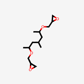 CC(CC(C)OCC1CO1)CC(C)OCC1CO1